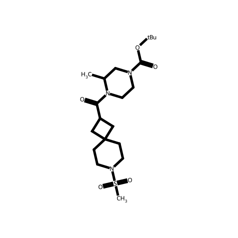 CC1CN(C(=O)OC(C)(C)C)CCN1C(=O)C1CC2(CCN(S(C)(=O)=O)CC2)C1